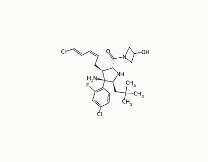 CC(C)(C)C[C@@H]1N[C@@H](C(=O)N2CC(O)C2)[C@H](C/C=C\C=C\Cl)[C@@]1(N)c1ccc(Cl)cc1F